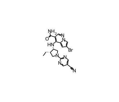 CC[C@H]1CN(c2ncc(C#N)cn2)C[C@H]1Nc1c(C(N)=O)cnn2cc(Br)cc12